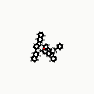 c1ccc(-c2nc(-c3ccccc3)nc(-c3ncc(-n4c5cc6ccccc6cc5c5ccc6c7cc8ccccc8cc7n(-c7ccc8ccccc8c7)c6c54)cn3)n2)cc1